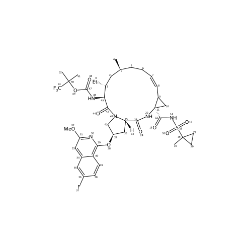 CC[C@@H]1C[C@@H](C)CC/C=C\C2C[C@@]2(C(=O)NS(=O)(=O)C2(C)CC2)NC(=O)[C@@H]2C[C@@H](Oc3nc(OC)cc4cc(F)ccc34)CN2C(=O)[C@H]1NC(=O)OC(C)(C)C(F)(F)F